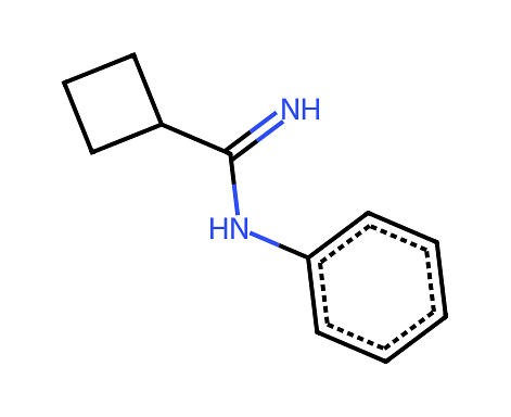 N=C(Nc1ccccc1)C1CCC1